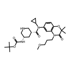 COCCCN1C(=O)C(C)(C)Oc2ccc(N(C(=O)[C@H]3CNC[C@@H](NC(=O)OC(C)(C)C)C3)C3CC3)cc21